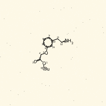 CC(C)(C)OC(=O)COc1cccc(CCN)c1